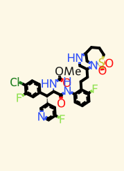 COC(=O)N[C@H](C(=O)Nc1cccc(F)c1CCC1CNC2CCCS(=O)(=O)N1C2)[C@H](c1cncc(F)c1)c1ccc(Cl)c(F)c1